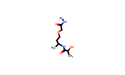 CC(C)NC(=O)COCCC(C)NC(=O)C(C)O